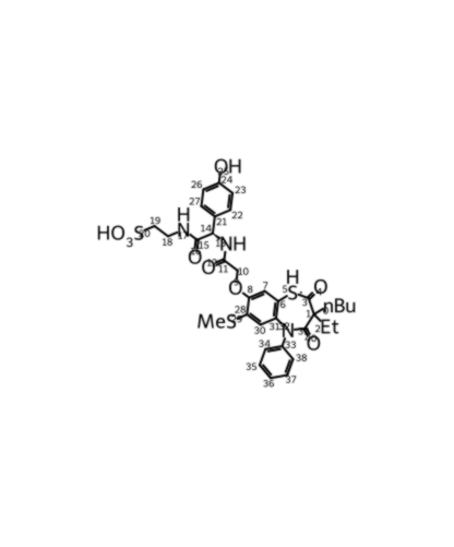 CCCCC1(CC)C(=O)[SH]c2cc(OCC(=O)N[C@@H](C(=O)NCCS(=O)(=O)O)c3ccc(O)cc3)c(SC)cc2N(c2ccccc2)C1=O